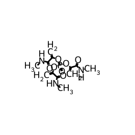 C=C(OP(=O)(OC(=C)C(=O)NC)OC(=C)C(=O)NC)C(=O)NC